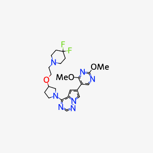 COc1ncc(-c2cc3c(N4CCC(OCCN5CCC(F)(F)CC5)C4)ncnn3c2)c(OC)n1